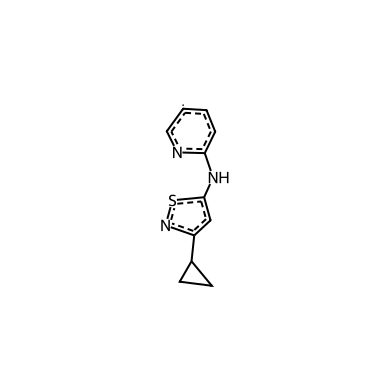 [c]1ccc(Nc2cc(C3CC3)ns2)nc1